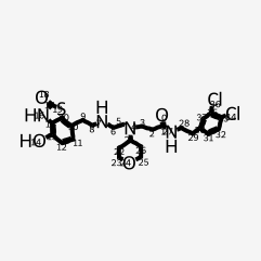 O=C(CCN(CCNCCc1ccc(O)c2[nH]c(=O)sc12)C1CCOCC1)NCCc1ccc(Cl)c(Cl)c1